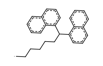 [CH2]CCCCCC(c1cccc2ccccc12)c1cccc2ccccc12